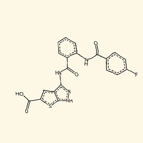 O=C(Nc1ccccc1C(=O)Nc1n[nH]c2sc(C(=O)O)cc12)c1ccc(F)cc1